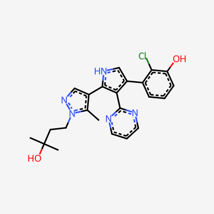 Cc1c(-c2[nH]cc(-c3cccc(O)c3Cl)c2-c2ncccn2)cnn1CCC(C)(C)O